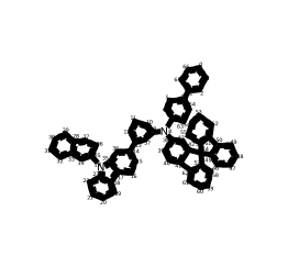 c1ccc(-c2ccc(N(c3cccc(-c4ccc5c6ccccc6n(-c6ccc7ccccc7c6)c5c4)c3)c3ccc4c(c3)C3(c5ccccc5-c5ccccc53)c3ccccc3-4)cc2)cc1